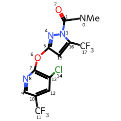 CNC(=O)n1nc(Oc2ncc(C(F)(F)F)cc2Cl)cc1C(F)(F)F